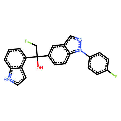 OC(CF)(c1ccc2c(cnn2-c2ccc(F)cc2)c1)c1cccc2[nH]ccc12